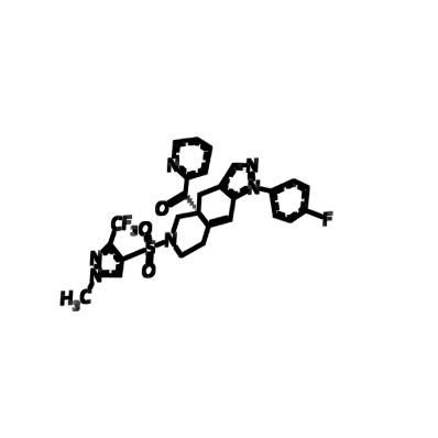 Cn1cc(S(=O)(=O)N2CCC3=Cc4c(cnn4-c4ccc(F)cc4)C[C@]3(C(=O)c3ccccn3)C2)c(C(F)(F)F)n1